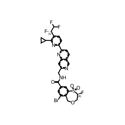 O=C(NCc1cc2nc(-c3ccc([C@H](F)C(F)F)c(C4CC4)n3)ccc2cn1)c1cc(Br)c2c(c1)S(=O)(=O)[C@@H](F)COC2